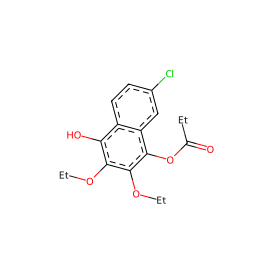 CCOc1c(OCC)c(OC(=O)CC)c2cc(Cl)ccc2c1O